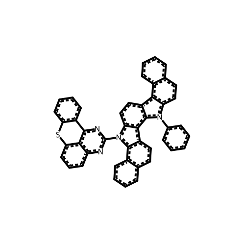 c1ccc(-n2c3ccc4ccccc4c3c3ccc4c(c5ccc6ccccc6c5n4-c4nc5c6c(cccc6n4)Sc4ccccc4-5)c32)cc1